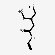 C=COC(=O)CC(CO)CO